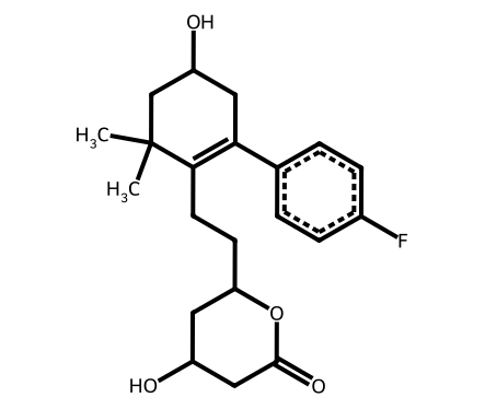 CC1(C)CC(O)CC(c2ccc(F)cc2)=C1CCC1CC(O)CC(=O)O1